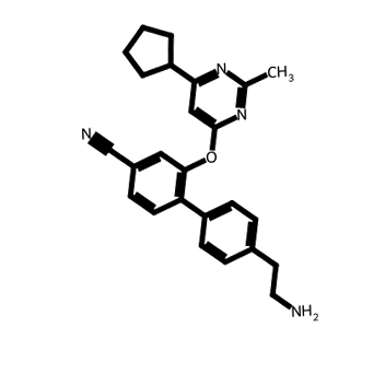 Cc1nc(Oc2cc(C#N)ccc2-c2ccc(CCN)cc2)cc(C2CCCC2)n1